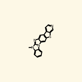 Cn1c2ccccc2n2c3cc4sc5cnccc5c4cc3nc12